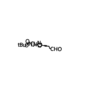 CC(C)(C)OC(=O)N1CCN(c2ccc(C#CCCC=O)cn2)CC1